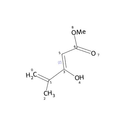 C=C(C)/C(O)=C/C(=O)OC